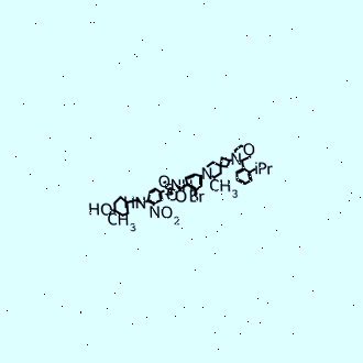 CC(C)c1ccccc1C1COCCN1C1CC2(CCN(c3ccc(C(=O)NS(=O)(=O)c4ccc(NCC5CCC(C)(O)CC5)c([N+](=O)[O-])c4)c(Br)c3)C(C)C2)C1